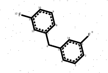 Fc1cccc(Cc2cccc(F)c2)c1